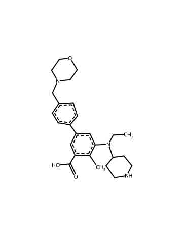 CCN(c1cc(-c2ccc(CN3CCOCC3)cc2)cc(C(=O)O)c1C)C1CCNCC1